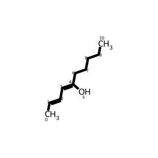 C/C=C/C=C(O)CCCCC